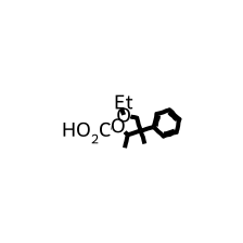 CCOCC(C)(c1ccccc1)C(C)OC(=O)O